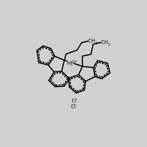 CCCC[C]1([Hf+2][C]2(CCCC)c3ccccc3-c3ccccc32)c2ccccc2-c2ccccc21.[Cl-].[Cl-]